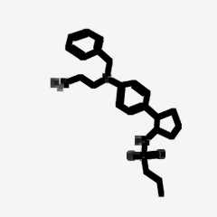 CCCS(=O)(=O)NC1CCCC1c1ccc(N(CCN)Cc2ccccc2)cc1